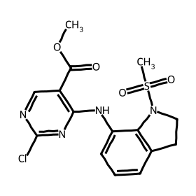 COC(=O)c1cnc(Cl)nc1Nc1cccc2c1N(S(C)(=O)=O)CC2